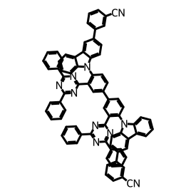 N#Cc1cccc(-c2ccc3c(c2)c2ccccc2n3-c2ccc(-c3ccc(-n4c5ccccc5c5cc(-c6cccc(C#N)c6)ccc54)c(-c4nc(-c5ccccc5)nc(-c5ccccc5)n4)c3)cc2-c2nc(-c3ccccc3)nc(-c3ccccc3)n2)c1